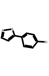 CCc1ccc(-c2[c]cns2)cc1